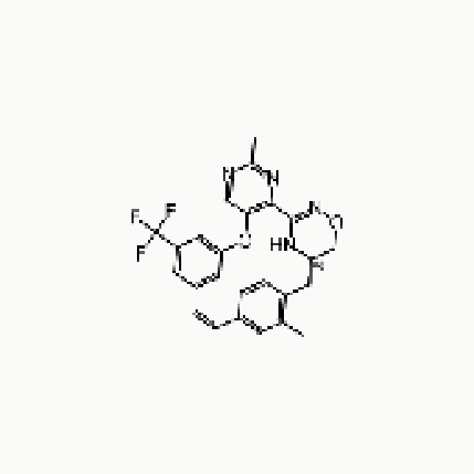 C=Cc1ccc(C[C@@H]2CON=C(c3nc(C)ncc3Oc3cccc(C(F)(F)F)c3)N2)c(C)c1